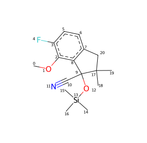 COc1c(F)ccc2c1C(C#N)(O[Si](C)(C)C)C(C)(C)C2